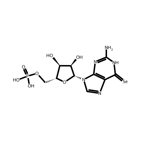 Nc1nc2c(ncn2[C@@H]2O[C@H](COP(=O)(O)O)[C@@H](O)[C@H]2O)c(=[Se])[nH]1